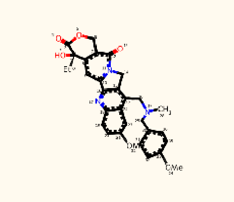 CC[C@@]1(O)C(=O)OCc2c1cc1n(c2=O)Cc2c-1nc1ccc(OC)cc1c2CN(C)Cc1ccc(OC)cc1